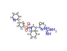 CC(=NNC(=N)N)c1cn(S(=O)(=O)c2ccc(-c3ccccn3)s2)c2ccccc12